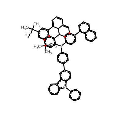 CC(C)(C)c1cc(C2=CC=CC3=CC=CC(c4ccccc4N(c4ccc(-c5ccc6c(c5)c5ccccc5n6-c5ccccc5)cc4)c4ccc(-c5cccc6ccccc56)cc4)C32)cc(C(C)(C)C)c1